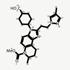 COC(=O)N1c2ccc3c(nc(CCn4cc(C)cn4)n3C3CCC(C(=O)O)CC3)c2CCC1C